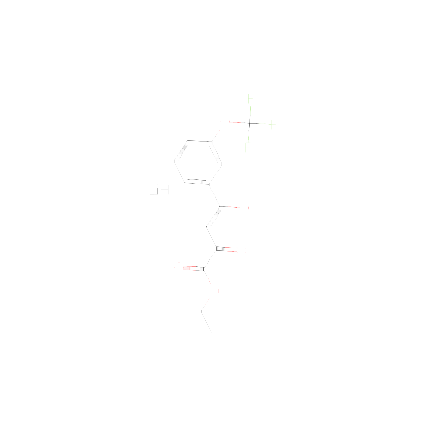 CCOC(=O)C(=O)C=C(O)c1cccc(OC(F)(F)F)c1.[LiH]